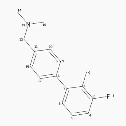 [CH2]c1c(F)cccc1-c1ccc(CN(C)C)cc1